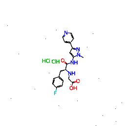 Cl.Cl.Cn1nc(-c2ccncc2)cc1NC(=O)[C@H](Cc1ccc(F)cc1)NCC(=O)O